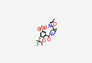 Cc1cnc(C23CC2CN(C(=O)c2cc(S(C)(=O)=O)ccc2OC(C)C(C)(F)F)C3)o1